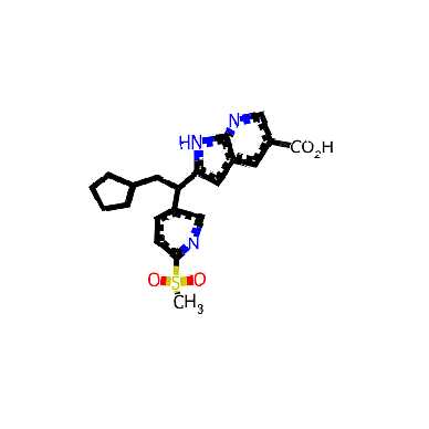 CS(=O)(=O)c1ccc(C(CC2CCCC2)c2cc3cc(C(=O)O)cnc3[nH]2)cn1